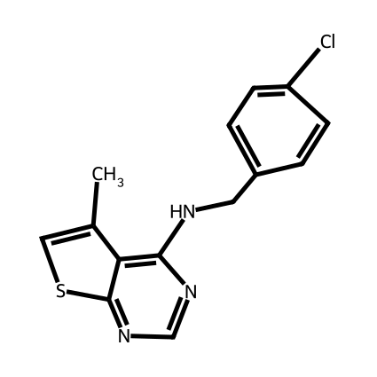 Cc1csc2ncnc(NCc3ccc(Cl)cc3)c12